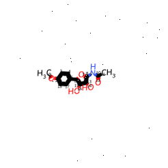 COc1ccc(-c2oc(NC(C)=O)c(O)c2O)cc1